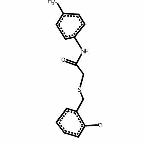 Cc1ccc(NC(=O)CSCc2ccccc2Cl)cc1